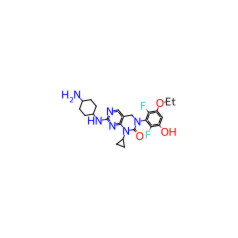 CCOc1cc(O)c(F)c(N2Cc3cnc(NC4CCC(N)CC4)nc3N(C3CC3)C2=O)c1F